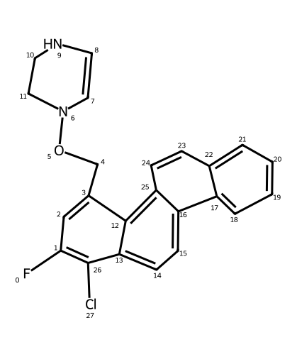 Fc1cc(CON2C=CNCC2)c2c(ccc3c4ccccc4ccc32)c1Cl